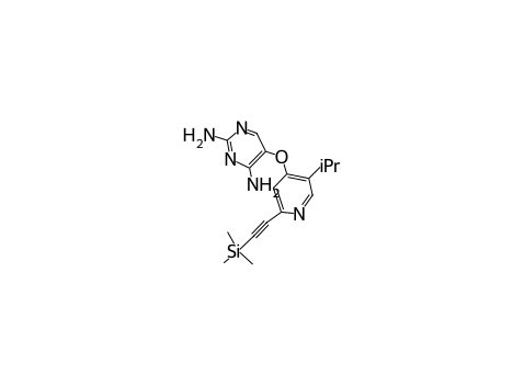 CC(C)c1cnc(C#C[Si](C)(C)C)cc1Oc1cnc(N)nc1N